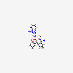 O=C(/C=C/c1nc2ccccc2[nH]1)c1c(-c2ccccc2)c2ccccc2[nH]c1=O